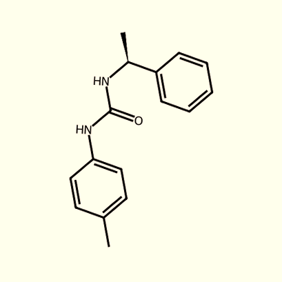 Cc1ccc(NC(=O)N[C@@H](C)c2ccccc2)cc1